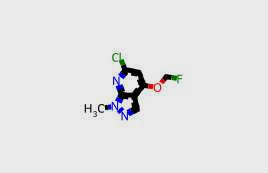 Cn1ncc2c(OCF)cc(Cl)nc21